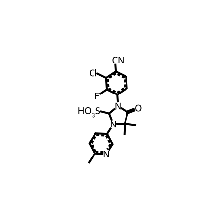 Cc1ccc(N2C(S(=O)(=O)O)N(c3ccc(C#N)c(Cl)c3F)C(=O)C2(C)C)cn1